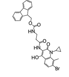 Cc1c(Br)ccc2c(O)c(NC(=O)CCNC(=O)OCC3c4ccccc4-c4ccccc43)c(=O)n(C3CC3)c12